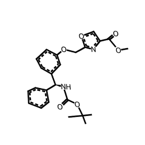 COC(=O)c1coc(COc2cccc([C@@H](NC(=O)OC(C)(C)C)c3ccccc3)c2)n1